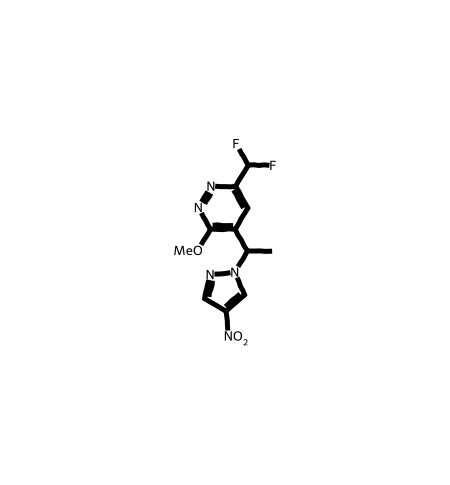 COc1nnc(C(F)F)cc1C(C)n1cc([N+](=O)[O-])cn1